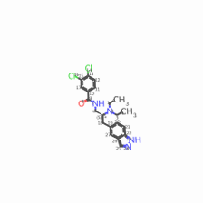 CCN(CC)[C@H](CNC(=O)c1ccc(Cl)c(Cl)c1)Cc1ccc2[nH]ncc2c1